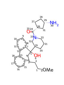 COCCCCC(O)(c1ccccc1-c1ccccc1)C1CCCN(C(=O)[C@@H]2CC[C@H](N)C2)C1